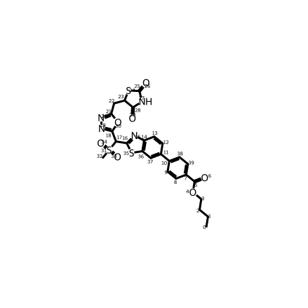 CCCCOC(=O)c1ccc(-c2ccc3nc(C(c4nnc(CC5SC(=O)NC5=O)o4)S(C)(=O)=O)sc3c2)cc1